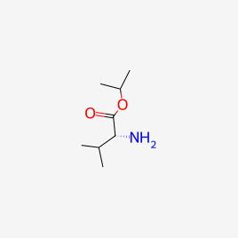 CC(C)OC(=O)[C@H](N)C(C)C